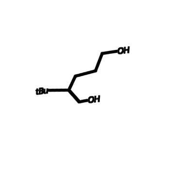 CC(C)(C)C(CO)CCCO